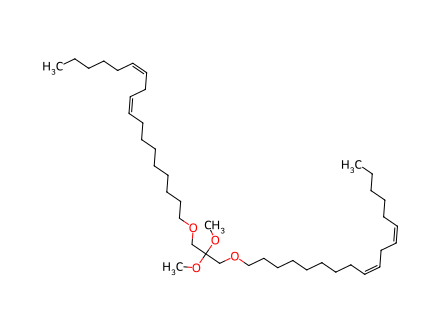 CCCCC/C=C\C/C=C\CCCCCCCCOCC(COCCCCCCCC/C=C\C/C=C\CCCCC)(OC)OC